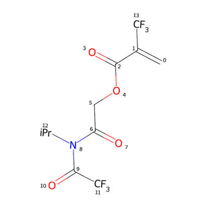 C=C(C(=O)OCC(=O)N(C(=O)C(F)(F)F)C(C)C)C(F)(F)F